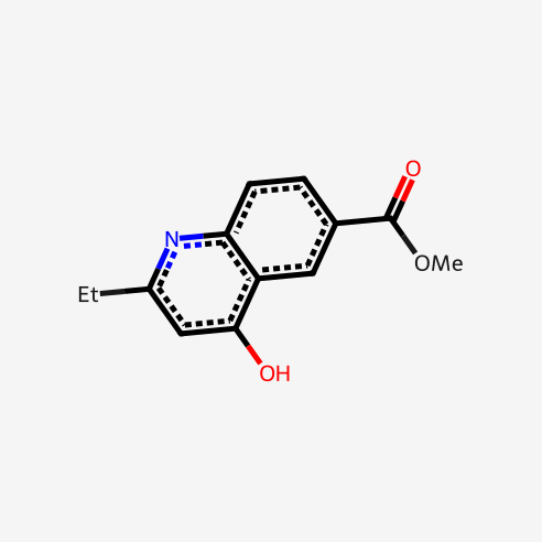 CCc1cc(O)c2cc(C(=O)OC)ccc2n1